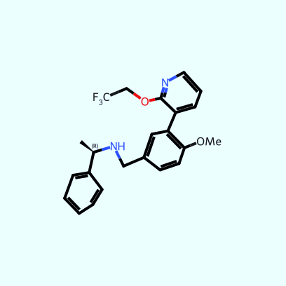 COc1ccc(CN[C@H](C)c2ccccc2)cc1-c1cccnc1OCC(F)(F)F